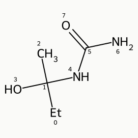 CCC(C)(O)NC(N)=O